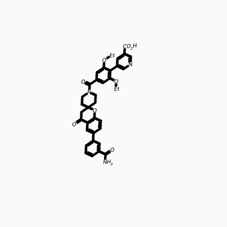 CCOc1cc(C(=O)N2CCC3(CC2)CC(=O)c2cc(-c4cccc(C(N)=O)c4)ccc2O3)cc(OCC)c1-c1cncc(C(=O)O)c1